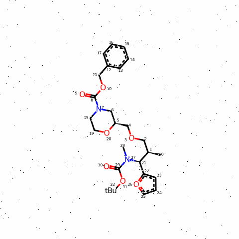 C[C@H](COC[C@@H]1CN(C(=O)OCc2ccccc2)CCO1)[C@@H](c1ccco1)N(C)C(=O)OC(C)(C)C